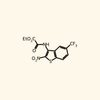 CCOC(=O)C(=O)Nc1c([N+](=O)[O-])sc2ccc(C(F)(F)F)cc12